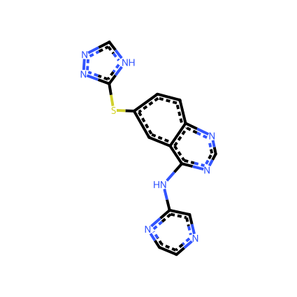 c1cnc(Nc2ncnc3ccc(Sc4nnc[nH]4)cc23)cn1